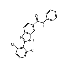 O=C(Nc1ccccc1)c1ccc2nc(-c3c(Cl)cccc3Cl)[nH]c2c1